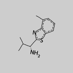 Cc1cccc2sc([C@H](N)C(C)C)nc12